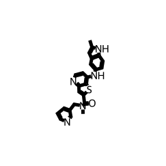 Cc1cc2cc(Nc3ccnc4cc(C(=O)N(C)Cc5cccnc5)sc34)ccc2[nH]1